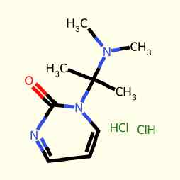 CN(C)C(C)(C)n1cccnc1=O.Cl.Cl